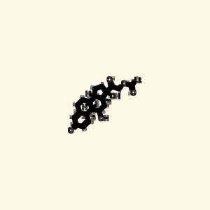 CCC(=O)OCC(=O)[C@@]1(O)CC[C@H]2[C@@H]3CCC4=CC(=O)C=C[C@]4(C)[C@@]3(F)C(O)C[C@@]21C